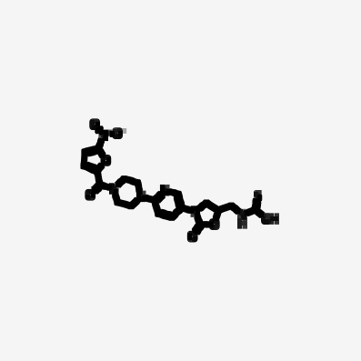 O=C(c1ccc([N+](=O)[O-])o1)N1CCN(c2ccc(N3CC(CNC(O)=S)OC3=O)cn2)CC1